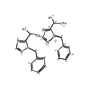 CC(C)C(O)c1ncnn1Cc1ccccc1.CC(C)C(O)c1ncnn1Cc1ccccc1